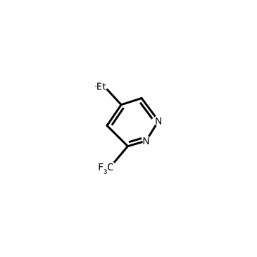 C[CH]c1cnnc(C(F)(F)F)c1